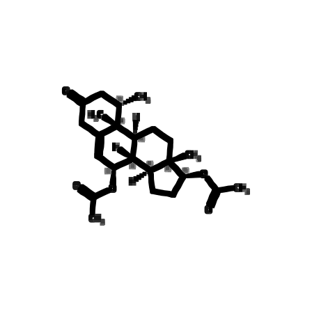 CC(=O)O[C@H]1C=C2CC(=O)C[C@H](C)[C@]2(C)[C@H]2CC[C@]3(C)[C@@H](OC(C)=O)CC[C@H]3[C@H]12